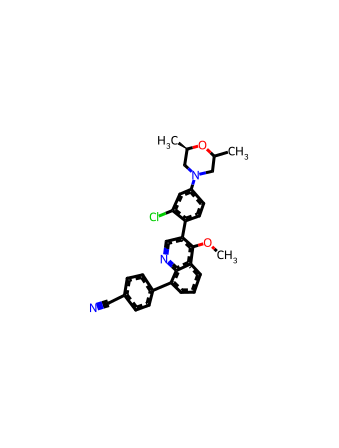 COc1c(-c2ccc(N3CC(C)O[C@H](C)C3)cc2Cl)cnc2c(-c3ccc(C#N)cc3)cccc12